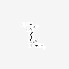 CC[S+]([O-])[S+]([O-])CCCC[S+]([O-])[S+]([O-])CC